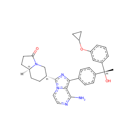 C[C@@](O)(c1ccc(-c2nc([C@@H]3CC[C@H]4CCC(=O)N4C3)n3ccnc(N)c23)cc1)c1cccc(OC2CC2)c1